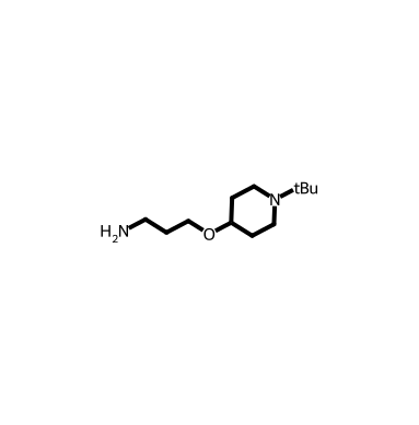 CC(C)(C)N1CCC(OCCCN)CC1